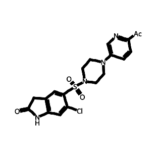 CC(=O)c1ccc(N2CCN(S(=O)(=O)c3cc4c(cc3Cl)NC(=O)C4)CC2)cn1